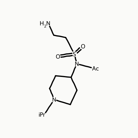 CC(=O)N(C1CCN(C(C)C)CC1)S(=O)(=O)CCN